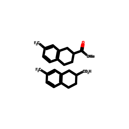 COC(=O)C1CCc2ccc(C(F)(F)F)cc2C1.O=C(O)C1CCc2ccc(C(F)(F)F)cc2C1